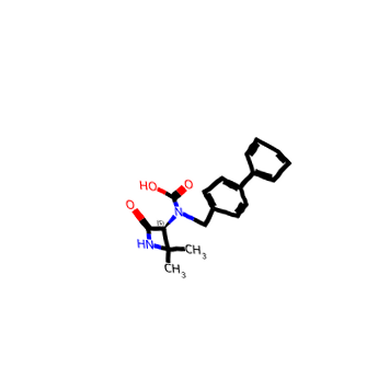 CC1(C)NC(=O)[C@H]1N(Cc1ccc(-c2ccccc2)cc1)C(=O)O